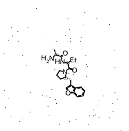 CC[C@H](NC(=O)[C@H](C)N)C(=O)N1CCC[C@H]1Cc1coc2ccccc12